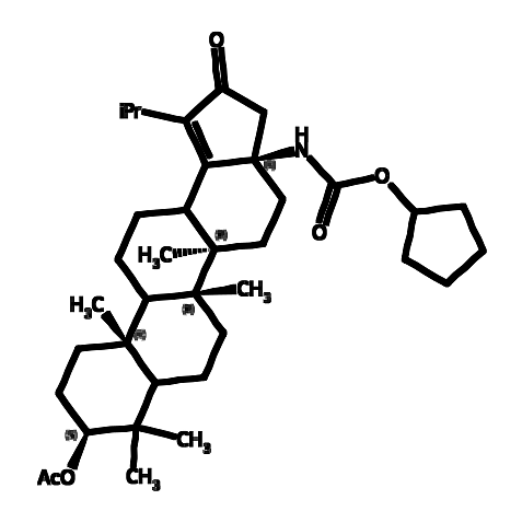 CC(=O)O[C@H]1CC[C@@]2(C)C(CC[C@]3(C)C2CCC2C4=C(C(C)C)C(=O)C[C@]4(NC(=O)OC4CCCC4)CC[C@]23C)C1(C)C